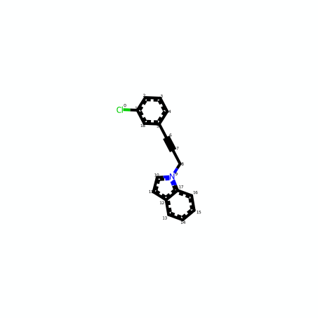 Clc1cccc(C#CCn2ccc3ccccc32)c1